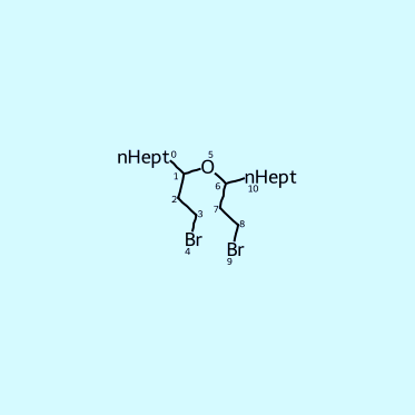 CCCCCCCC(CCBr)OC(CCBr)CCCCCCC